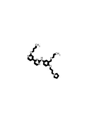 C=CCCOc1cc(-c2ccnc(Nc3ccc(OCCCN4CCCC4)c(COCC=C)c3)n2)ccn1